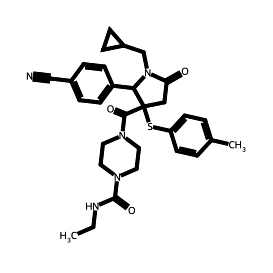 CCNC(=O)N1CCN(C(=O)C2(Sc3ccc(C)cc3)CC(=O)N(CC3CC3)C2c2ccc(C#N)cc2)CC1